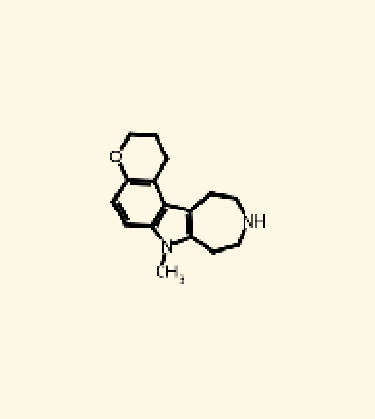 Cn1c2c(c3c4c(ccc31)OCCC4)CCNCC2